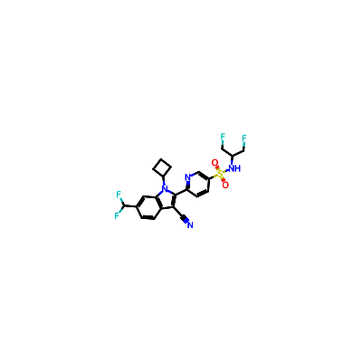 N#Cc1c(-c2ccc(S(=O)(=O)NC(CF)CF)cn2)n(C2CCC2)c2cc(C(F)F)ccc12